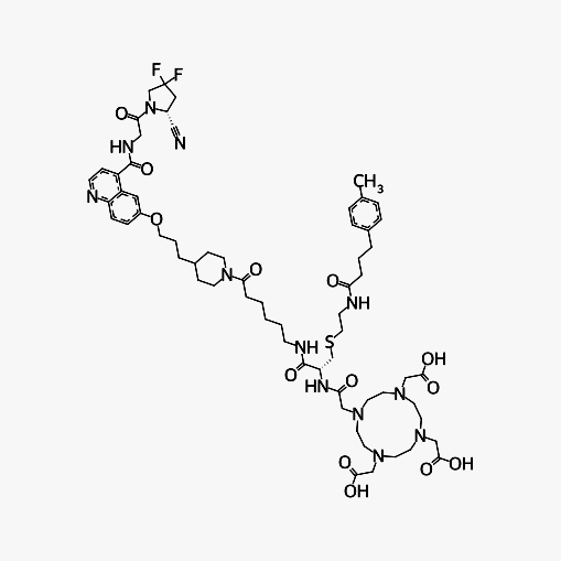 Cc1ccc(CCCC(=O)NCCSC[C@H](NC(=O)CN2CCN(CC(=O)O)CCN(CC(=O)O)CCN(CC(=O)O)CC2)C(=O)NCCCCCC(=O)N2CCC(CCCOc3ccc4nccc(C(=O)NCC(=O)N5CC(F)(F)C[C@@H]5C#N)c4c3)CC2)cc1